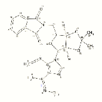 C=Nc1c(/C(N)=N\C)ncn1C1OC(CN2C(=O)c3ccccc3C2=O)[C@H]2OC(C)(C)O[C@@H]12